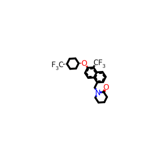 O=C1CCCCN1Cc1cccc2c(C(F)(F)F)c(O[C@H]3CC[C@@H](C(F)(F)F)CC3)ccc12